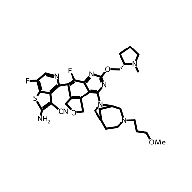 COCCCN1CCC2CC(C1)N(c1nc(OC[C@@H]3CCCN3C)nc3c(F)c(-c4ncc(F)c5sc(N)c(C#N)c45)c4c(c13)COC4)C2